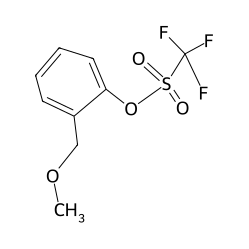 COCc1ccccc1OS(=O)(=O)C(F)(F)F